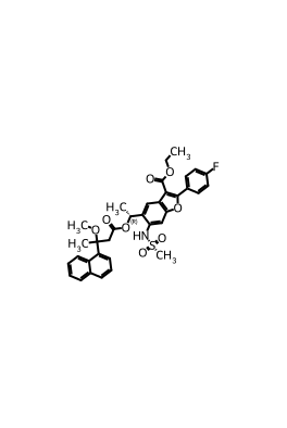 CCOC(=O)c1c(-c2ccc(F)cc2)oc2cc(NS(C)(=O)=O)c([C@@H](C)OC(=O)CC(C)(OC)c3cccc4ccccc34)cc12